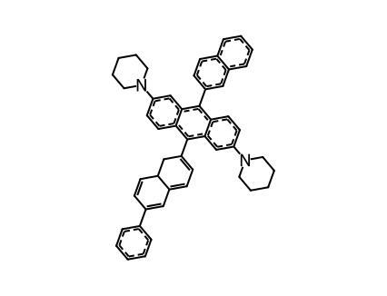 C1=CC2CC(c3c4cc(N5CCCCC5)ccc4c(-c4ccc5ccccc5c4)c4cc(N5CCCCC5)ccc34)=CC=C2C=C1c1ccccc1